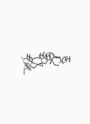 CCCN1C[C@@H](C)C[C@H]2O[C@@]34CC[C@H]5C6CCC7=C[C@@H](O)CC[C@]7(C)[C@H]6CC56CC63C[C@@H]4[C@@H]21